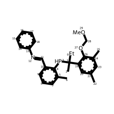 CCC(C)(Pc1c(C)cccc1/C=N/c1ccccc1)c1cc(C)cc(C)c1OCOC